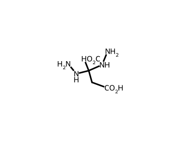 NNC(CC(=O)O)(NN)C(=O)O